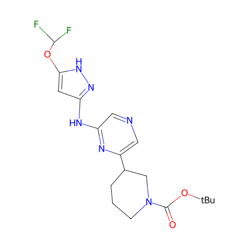 CC(C)(C)OC(=O)N1CCCC(c2cncc(Nc3cc(OC(F)F)[nH]n3)n2)C1